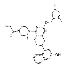 C=CC(=O)N1CCN(c2nc(OCC3CC(F)CN3C)nc3c2CCC(c2cc(O)cc4ccccc24)C3)C(C)C1